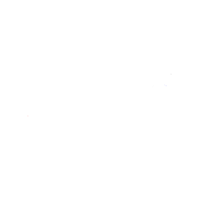 CC(C)(C)NC(=O)OCCCc1cccc(C#CCCCO)c1